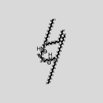 CCCCCCCCCCCCCCN(CCCCCCCCCCCCCC)CCNC(=O)CCN(C)CCN(C)CCC(=O)NCCN(CCCCCCCCCCCCCC)CCCCCCCCCCCCCC